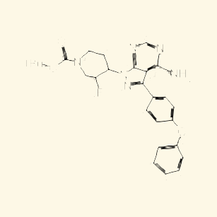 CC(C)(C)OC(=O)N1CCC(n2nc(-c3ccc(Oc4ccccc4)cc3)c3c(N)ncnc32)C(F)C1